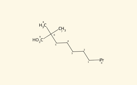 CC(C)CCCCCC(C)(C)C(=O)O